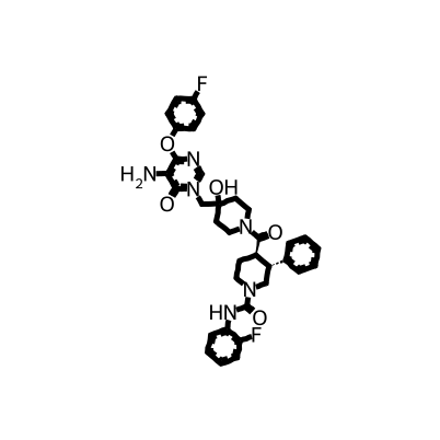 Nc1c(Oc2ccc(F)cc2)ncn(CC2(O)CCN(C(=O)[C@@H]3CCN(C(=O)Nc4ccccc4F)C[C@H]3c3ccccc3)CC2)c1=O